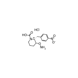 Cl.NOC1CCCN(C(=O)O)[C@@H]1Cc1ccc([N+](=O)[O-])cc1